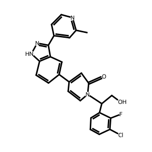 Cc1cc(-c2n[nH]c3ccc(-c4ccn(C(CO)c5cccc(Cl)c5F)c(=O)c4)cc23)ccn1